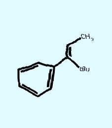 CC=C(c1ccccc1)C(C)(C)C